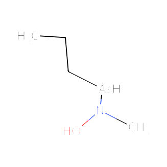 CCC[AsH]N(C)O